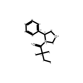 CCC(C)(C)C(=O)N1COCC1c1ccccc1